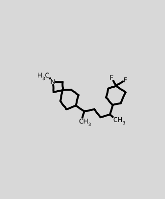 CC(CCC(C)C1CCC2(CC1)CN(C)C2)C1CCC(F)(F)CC1